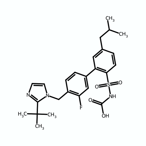 CC(C)Cc1ccc(S(=O)(=O)NC(=O)O)c(-c2ccc(Cn3ccnc3C(C)(C)C)c(F)c2)c1